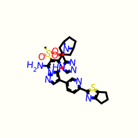 CS(=O)(=O)c1c(C2CC3CCC(C2)N3C(=O)c2nnc[nH]2)nc2c(-c3ccc(-c4nc5c(s4)CCC5)nc3)cnn2c1N